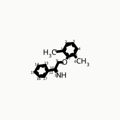 Cc1cccc(C)c1OCC(=N)c1ccccc1